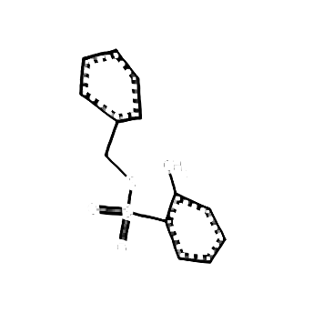 Cc1ccccc1S(=O)(=O)SCc1ccccc1